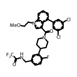 COCCn1cc(C(=O)N2CCC(c3cc(CNC(=O)C(F)(F)F)ccc3F)CC2)c2c(-c3cc(Cl)cc(Cl)c3)cccc21